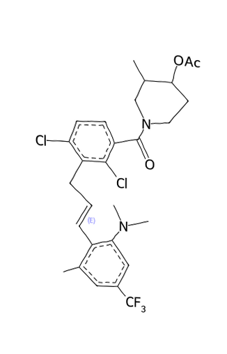 CC(=O)OC1CCN(C(=O)c2ccc(Cl)c(C/C=C/c3c(C)cc(C(F)(F)F)cc3N(C)C)c2Cl)CC1C